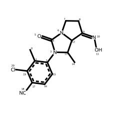 Cc1c(N2C(=O)N3CCC(=NO)C3C2C)ccc(C#N)c1Cl